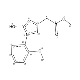 COC(=O)Cc1cc(O)n(-c2ccccc2OC)c1